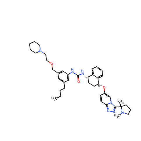 CCCCc1cc(COCCN2CCCCC2)cc(NC(=O)N[C@H]2CC[C@@H](Oc3ccc4nnc(C5(C)CCCN5C)n4c3)c3ccccc32)c1